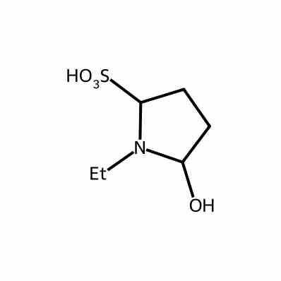 CCN1C(O)CCC1S(=O)(=O)O